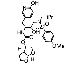 COc1ccc(S(=O)(=O)N(CC(C)C)C[C@@H](O)[C@H](Cc2ccc(O)nc2)NC(=O)O[C@H]2CO[C@H]3OCC[C@H]32)cc1